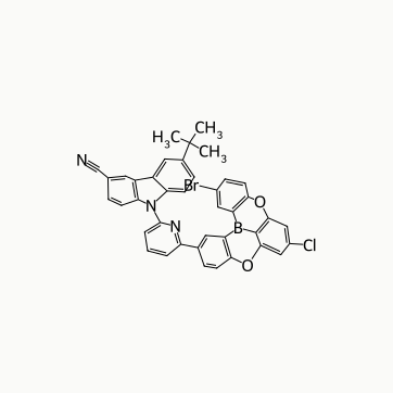 CC(C)(C)c1ccc2c(c1)c1cc(C#N)ccc1n2-c1cccc(-c2ccc3c(c2)B2c4cc(Br)ccc4Oc4cc(Cl)cc(c42)O3)n1